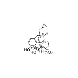 CO[C@@]12CC[C@@]3(CC1[C@@](C)(O)C(C)(C)C)[C@H]1Cc4ccc(O)c5c4[C@@]3(CCN1CC1CC1)[C@H]2O5